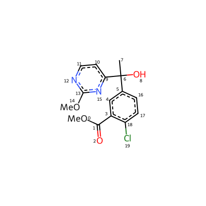 COC(=O)c1cc(C(C)(O)c2ccnc(OC)n2)ccc1Cl